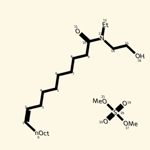 CCCCCCCC/C=C\CCCCCCCC(=O)N(CC)CCO.COS(=O)(=O)OC